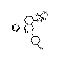 CC(C)C1CCC(OCC2C(NS(C)(=O)=O)CCCN2C(=O)c2ccco2)CC1